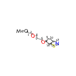 COCCOCCCOc1ccc2cnsc2c1